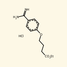 CCOC(=O)CCCOc1ccc(C(=N)N)cc1.Cl